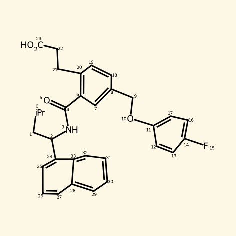 CC(C)CC(NC(=O)c1cc(COc2ccc(F)cc2)ccc1CCC(=O)O)c1cccc2ccccc12